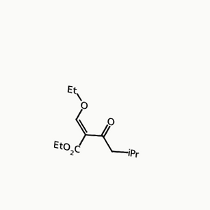 CCOC=C(C(=O)CC(C)C)C(=O)OCC